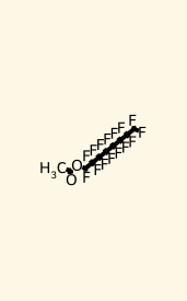 CC(=O)OC(F)C(F)(F)C(F)(F)C(F)(F)C(F)(F)C(F)(F)C(F)(F)C(F)F